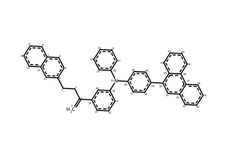 C=C(CCc1ccc2ccccc2c1)c1cccc(N(c2ccccc2)c2ccc(-c3cc4ccccc4c4ccccc34)cc2)c1